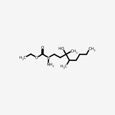 CCCCC(C)C(C)(O)CCN(N)C(=O)OCC